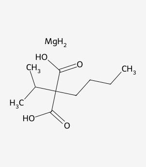 CCCCC(C(=O)O)(C(=O)O)C(C)C.[MgH2]